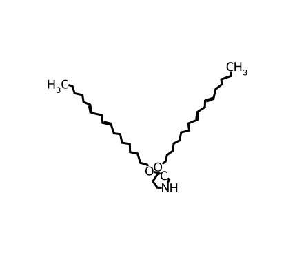 CCCCCC=CCC=CCCCCCCCCOC1(OCCCCCCCCC=CCC=CCCCCC)CCNCC1